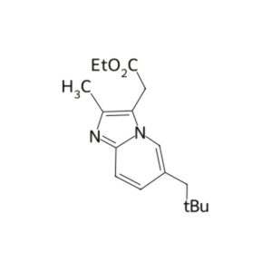 CCOC(=O)Cc1c(C)nc2ccc(CC(C)(C)C)cn12